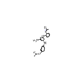 CC/C(C)=N/c1ccccc1Nc1nc(N)cc(Nc2ccc(OC(F)F)cc2)n1